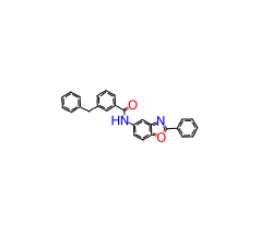 O=C(Nc1ccc2oc(-c3ccccc3)nc2c1)c1cccc(Cc2ccccc2)c1